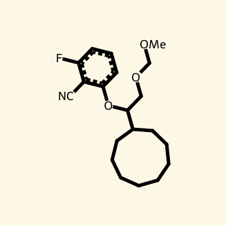 COCOCC(Oc1cccc(F)c1C#N)C1CCCCCCCC1